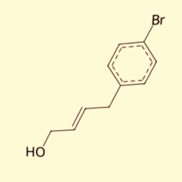 OCC=CCc1ccc(Br)cc1